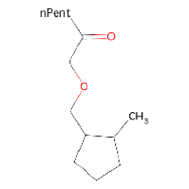 CCCCCC(=O)COCC1CCCC1C